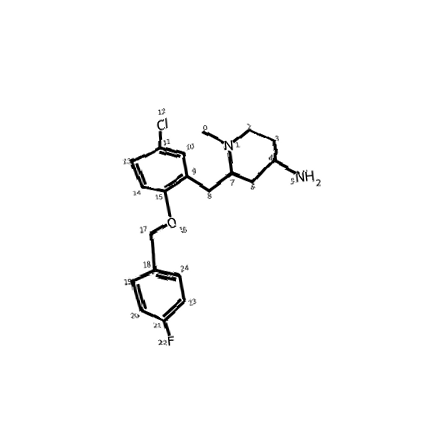 CN1CCC(N)CC1Cc1cc(Cl)ccc1OCc1ccc(F)cc1